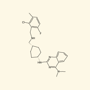 Cc1ccc(F)c(CNC[C@H]2CC[C@@H](Nc3nc(N(C)C)c4ccccc4n3)CC2)c1Cl